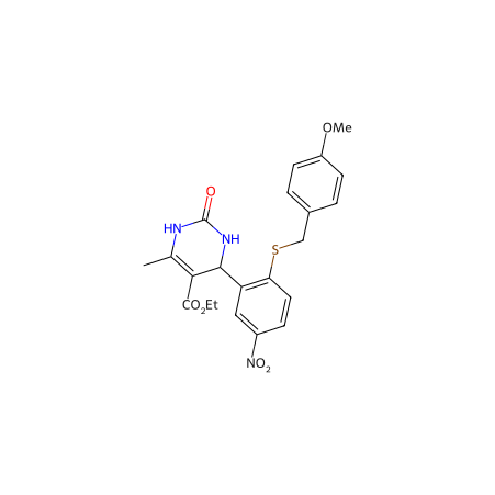 CCOC(=O)C1=C(C)NC(=O)NC1c1cc([N+](=O)[O-])ccc1SCc1ccc(OC)cc1